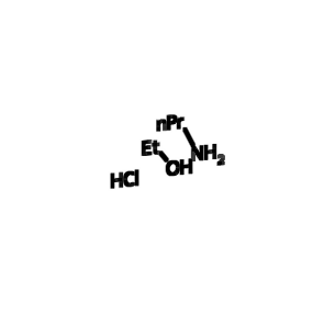 CCCN.CCO.Cl